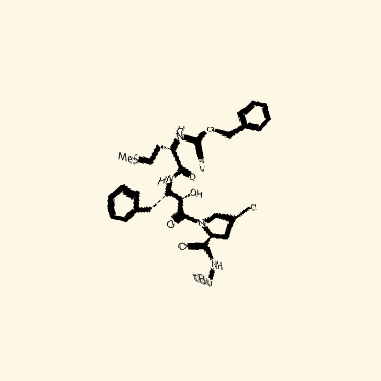 CSCC[C@H](NC(=O)OCc1ccccc1)C(=O)N[C@@H](Cc1ccccc1)[C@H](O)C(=O)N1C[C@@H](Cl)C[C@H]1C(=O)NC(C)(C)C